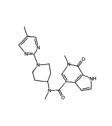 Cc1cnc(N2CCC(N(C)C(=O)c3cn(C)c(=O)c4[nH]ccc34)CC2)nc1